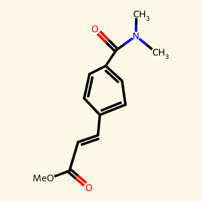 COC(=O)/C=C/c1ccc(C(=O)N(C)C)cc1